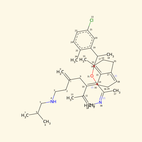 C=C(CCNCC(C)C)C/C(C(=C)C)=C(C(=CC(C)c1cc(Cl)ccc1C)/C1=C\CCOC(C)CC1)/C(C)=N\C